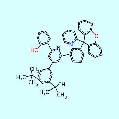 CC(C)(C)c1cc(-c2cc(-c3cccc(C4(c5ccccn5)c5ccccc5Oc5ccccc54)c3)nc(-c3ccccc3O)c2)cc(C(C)(C)C)c1